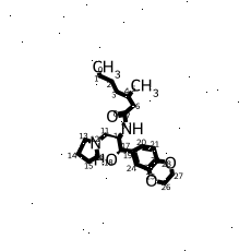 CCCCC(C)CC(=O)N[C@H](CN1CCCC1)[C@H](O)c1ccc2c(c1)OCCO2